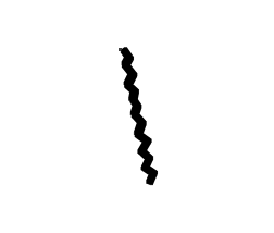 [CH2]/C=C/C=C/C=C/C=C/C=C/CCCCCC